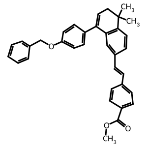 COC(=O)c1ccc(/C=C/c2ccc3c(c2)C(c2ccc(OCc4ccccc4)cc2)=CCC3(C)C)cc1